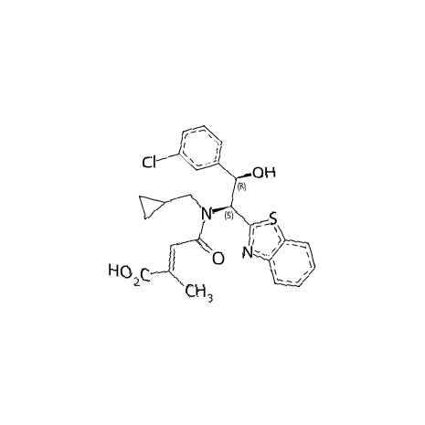 CC(=CC(=O)N(CC1CC1)[C@H](c1nc2ccccc2s1)[C@H](O)c1cccc(Cl)c1)C(=O)O